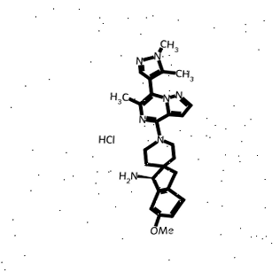 COc1ccc2c(c1)[C@@H](N)C1(CCN(c3nc(C)c(-c4cnn(C)c4C)n4nccc34)CC1)C2.Cl